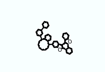 c1ccc(-c2cccc(-c3ccccccc(-c4ccc5c(c4)oc4c6ccccc6c6oc7ccccc7c6c54)c4ccccc34)c2)cc1